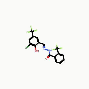 O=C(N/N=C/c1cc(C(F)(F)F)cc(Cl)c1O)c1ccccc1C(F)(F)F